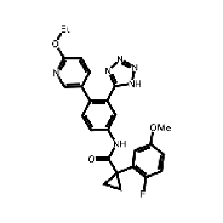 CCOc1ccc(-c2ccc(NC(=O)C3(c4cc(OC)ccc4F)CC3)cc2-c2nnn[nH]2)cn1